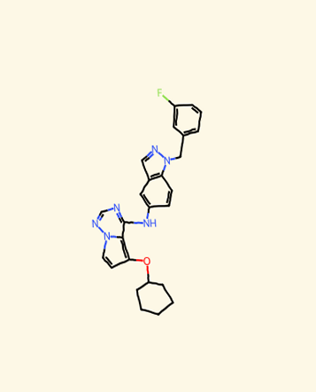 Fc1cccc(Cn2ncc3cc(Nc4ncnn5ccc(OC6CCCCC6)c45)ccc32)c1